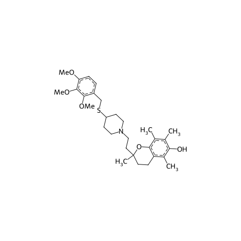 COc1ccc(CSC2CCN(CCC3(C)CCc4c(C)c(O)c(C)c(C)c4O3)CC2)c(OC)c1OC